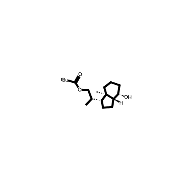 CC(COC(=O)C(C)(C)C)[C@H]1CC[C@H]2[C@@H](O)CCC[C@]12C